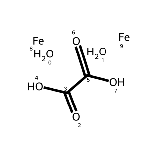 O.O.O=C(O)C(=O)O.[Fe].[Fe]